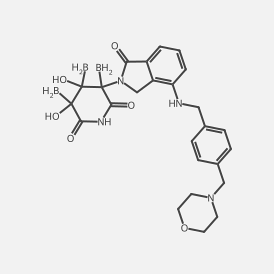 BC1(O)C(=O)NC(=O)C(B)(N2Cc3c(NCc4ccc(CN5CCOCC5)cc4)cccc3C2=O)C1(B)O